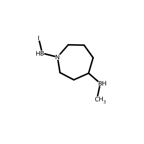 CBC1CCCN(BI)CC1